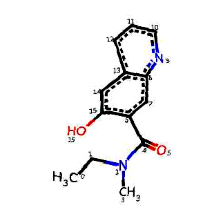 CCN(C)C(=O)c1cc2ncccc2cc1O